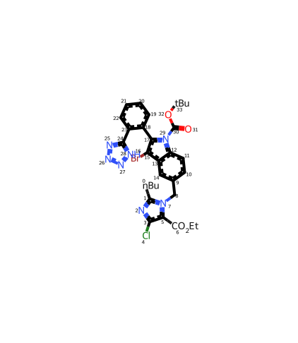 CCCCc1nc(Cl)c(C(=O)OCC)n1Cc1ccc2c(c1)c(Br)c(-c1ccccc1-c1nnn[nH]1)n2C(=O)OC(C)(C)C